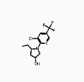 CCC1C[C@H](O)CN1c1ncc(C(F)(F)F)cc1Cl